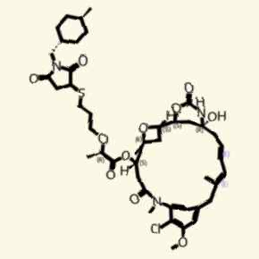 COc1cc2cc(c1Cl)N(C)C(=O)C[C@H](OC(=O)[C@@H](C)OCCCSC1CC(=O)N(C[C@H]3CC[C@H](C)CC3)C1=O)[C@@]1(C)C[C@](C)(O1)[C@@H]1C[C@](O)(C/C=C/C=C(\C)C2)NC(=O)O1